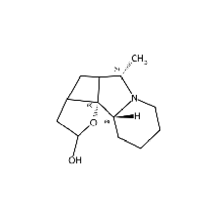 C[C@H]1C2CC3CC(O)O[C@]32[C@H]2CCCCN12